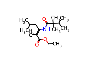 CCOC(=O)C(C)=C(CC(C)C)NC(=O)C(C)(C)C(C)C